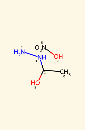 CC(O)NN.O=[N+]([O-])O